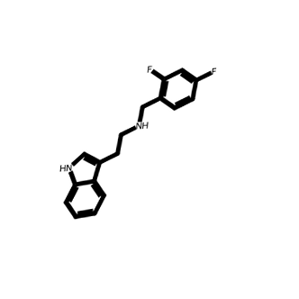 Fc1ccc(CNCCc2c[nH]c3ccccc23)c(F)c1